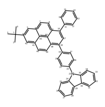 CC(C)(C)c1cc2ccc3c(-c4ccccc4)cc(-c4ccc(-n5c6ccccc6c6ccccc65)cc4)c4ccc(c1)c2c34